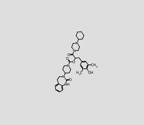 Cc1cc(CC(OC(=O)N2CCC(N3CCc4ccccc4NC3=O)CC2)C(=O)N2CCN(C3CCCCC3)CC2)cc(C)c1O